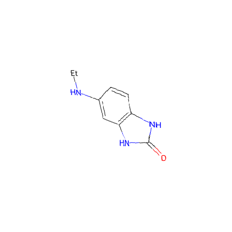 CCNc1ccc2[nH]c(=O)[nH]c2c1